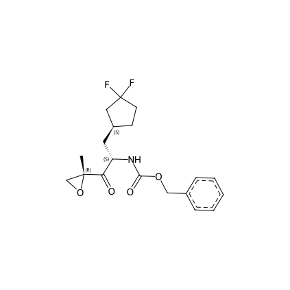 C[C@]1(C(=O)[C@H](C[C@@H]2CCC(F)(F)C2)NC(=O)OCc2ccccc2)CO1